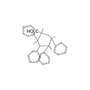 CC1(C(=O)O)CC(C)(c2ccccc2)C(C)(c2ccccc2)C(c2ccccc2)C1(C)c1ccccc1